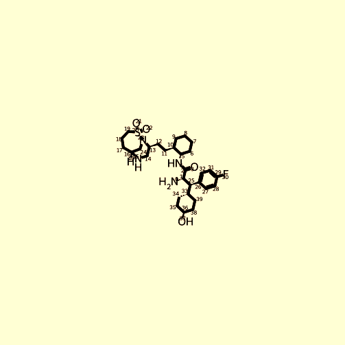 N[C@H](C(=O)N[C@H]1CCCC[C@@H]1CC[C@H]1CN[C@@H]2CCCS(=O)(=O)N1C2)[C@@H](c1ccc(F)cc1)[C@H]1CC[C@H](O)CC1